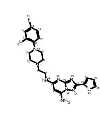 Nc1cc(NCCN2CCN(c3ccc(F)cc3F)CC2)nc2nc(-c3ccco3)nn12